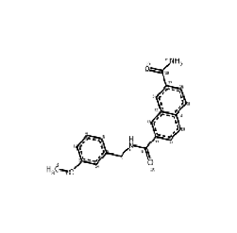 COc1cccc(CNC(=O)c2ccc3ccc(C(N)=O)cc3c2)c1